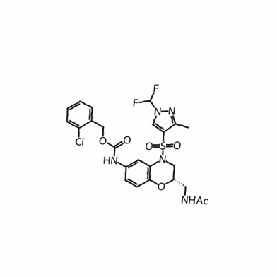 CC(=O)NC[C@H]1CN(S(=O)(=O)c2cn(C(F)F)nc2C)c2cc(NC(=O)OCc3ccccc3Cl)ccc2O1